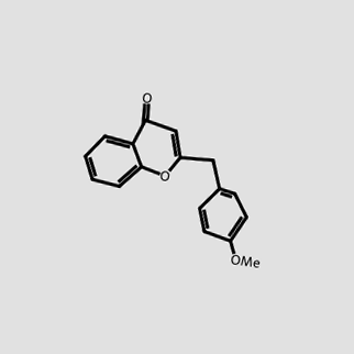 COc1ccc(Cc2cc(=O)c3ccccc3o2)cc1